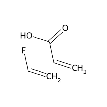 C=CC(=O)O.C=CF